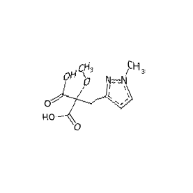 COC(Cc1ccn(C)n1)(C(=O)O)C(=O)O